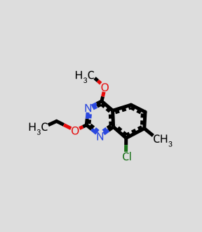 CCOc1nc(OC)c2ccc(C)c(Cl)c2n1